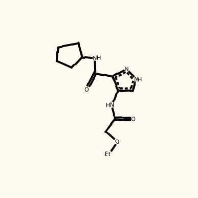 CCOCC(=O)Nc1c[nH]nc1C(=O)NC1CCCC1